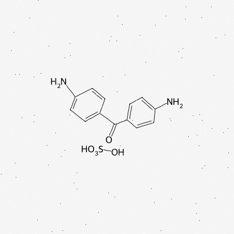 Nc1ccc(C(=O)c2ccc(N)cc2)cc1.O=S(=O)(O)O